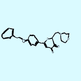 O=C1C=C(c2ccc(OCc3ccccc3)cc2)OC(CN2CCOCC2)C1=O